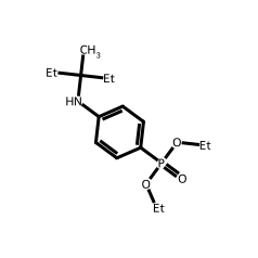 CCOP(=O)(OCC)c1ccc(NC(C)(CC)CC)cc1